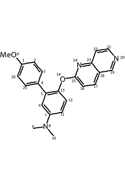 COc1ccc(-c2cc(N(C)C)ccc2Oc2ccc3cnccc3n2)cc1